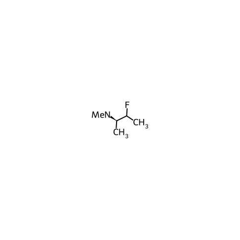 CN[C@H](C)C(C)F